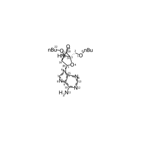 CCCCOC[C@@]12O[C@@H](n3cnc4c(N)ncnc43)C(NC1=O)C2OCCCC